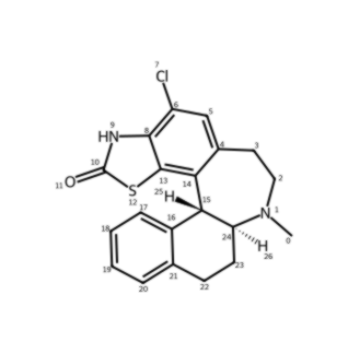 CN1CCc2cc(Cl)c3[nH]c(=O)sc3c2[C@H]2c3ccccc3CC[C@@H]21